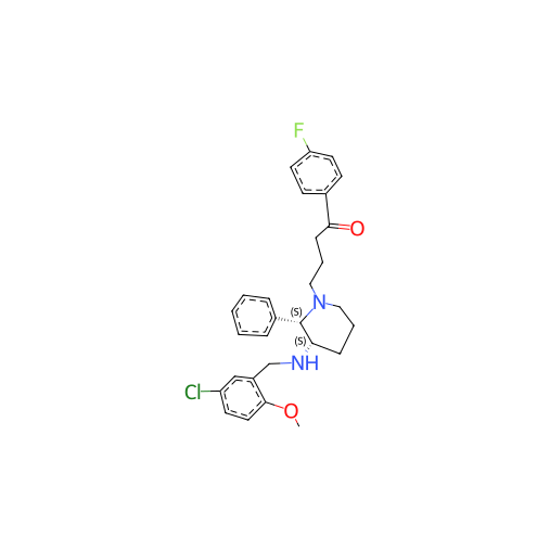 COc1ccc(Cl)cc1CN[C@H]1CCCN(CCCC(=O)c2ccc(F)cc2)[C@H]1c1ccccc1